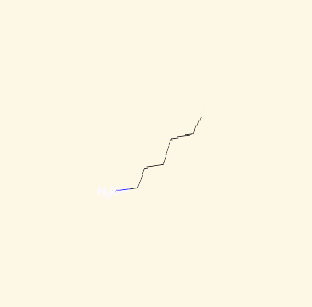 [CH2]C(=O)CCCCCN